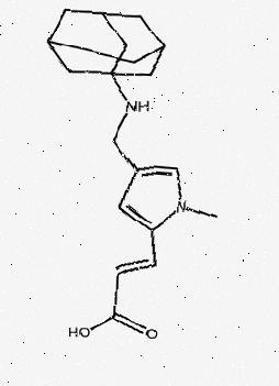 Cn1cc(CNC23CC4CC(CC(C4)C2)C3)cc1C=CC(=O)O